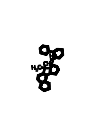 CC1(C)c2ccc3ccccc3c2-c2cccc(Nc3ccccc3-c3ccccc3)c21